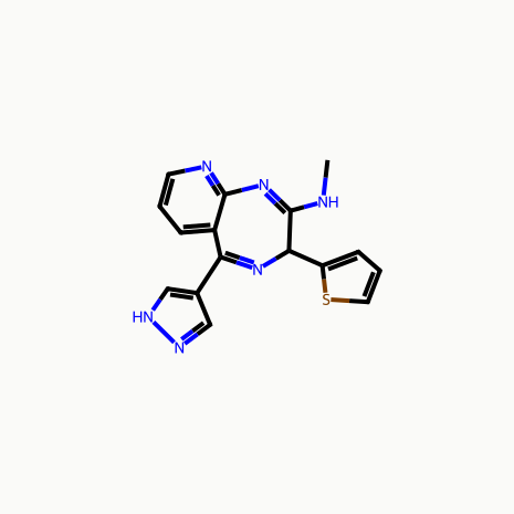 CNC1=Nc2ncccc2C(c2cn[nH]c2)=NC1c1cccs1